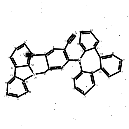 N#Cc1cc(C#N)c(N2c3ccccc3-c3ccccc3-c3ccccc32)cc1Cn1c2ccccc2c2ccccc21